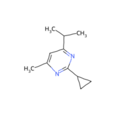 Cc1cc(C(C)C)nc(C2CC2)n1